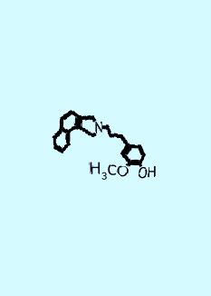 COc1cc(CCCN2Cc3ccc4ccccc4c3C2)ccc1O